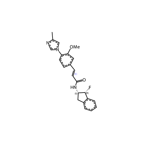 COc1cc(/C=C/C(=O)N[C@H]2Cc3ccccc3[C@H]2F)ccc1-n1cnc(C)c1